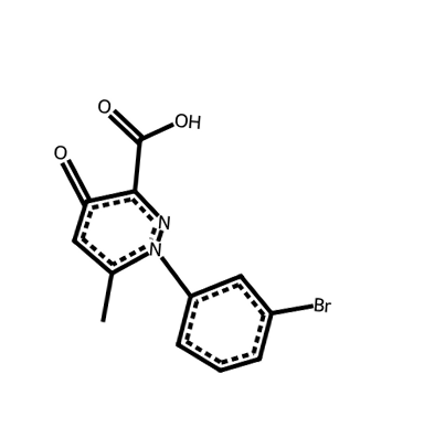 Cc1cc(=O)c(C(=O)O)nn1-c1cccc(Br)c1